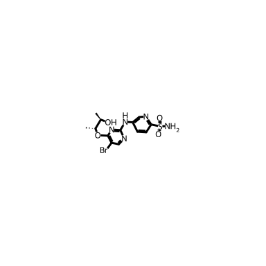 C[C@@H](O)[C@@H](C)Oc1nc(Nc2ccc(S(N)(=O)=O)nc2)ncc1Br